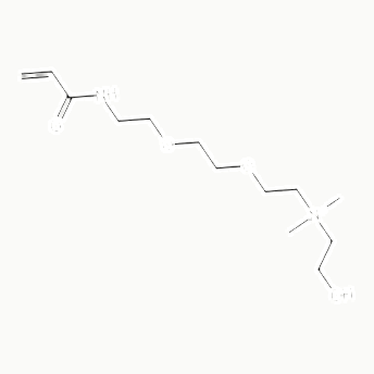 C=CC(=O)NCCOCCOCC[N+](C)(C)CCO